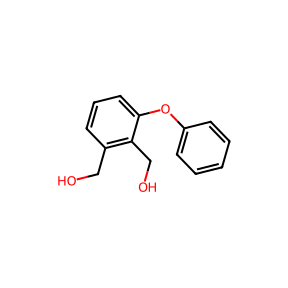 OCc1cccc(Oc2ccccc2)c1CO